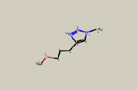 CC(C)(C)OCCCc1cn(C(C)(C)C)nn1